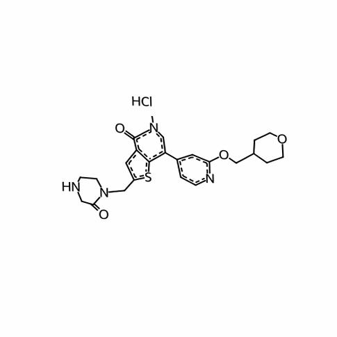 Cl.Cn1cc(-c2ccnc(OCC3CCOCC3)c2)c2sc(CN3CCNCC3=O)cc2c1=O